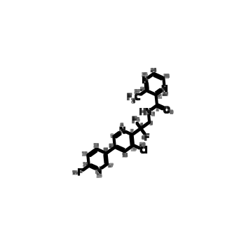 O=C(NCC(F)(F)c1ncc(-c2ccc(F)nc2)cc1Cl)c1nccnc1C(F)(F)F